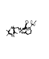 COC(=O)[C@H]1CCCc2nn(Cc3nc(C)c(C)nc3C)c(=O)n21